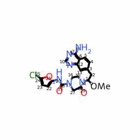 COC(Cc1ccc2c(N)ncnc2c1)N1CCN(C(=O)Nc2ccc(Cl)o2)CC1=O